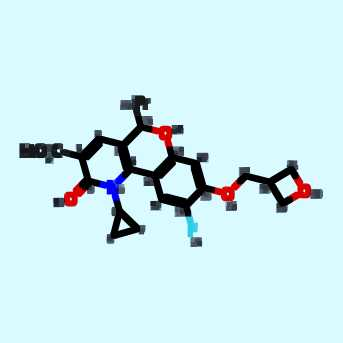 CCOC(=O)c1cc2c(n(C3CC3)c1=O)-c1cc(F)c(OCC3COC3)cc1OC2C(C)C